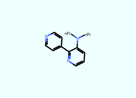 CCCN(CCC)c1cccnc1-c1ccncc1